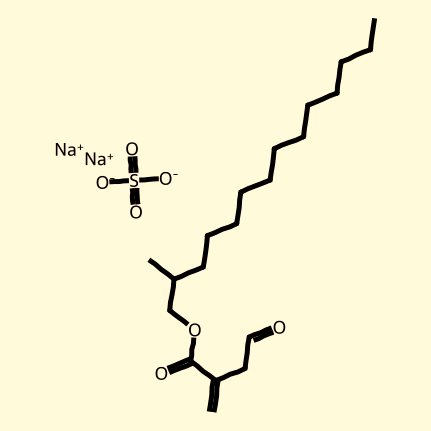 C=C(CC=O)C(=O)OCC(C)CCCCCCCCCCCC.O=S(=O)([O-])[O-].[Na+].[Na+]